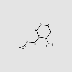 OCCC1CCCCC1O